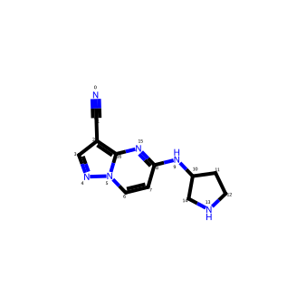 N#Cc1cnn2ccc(NC3CCNC3)nc12